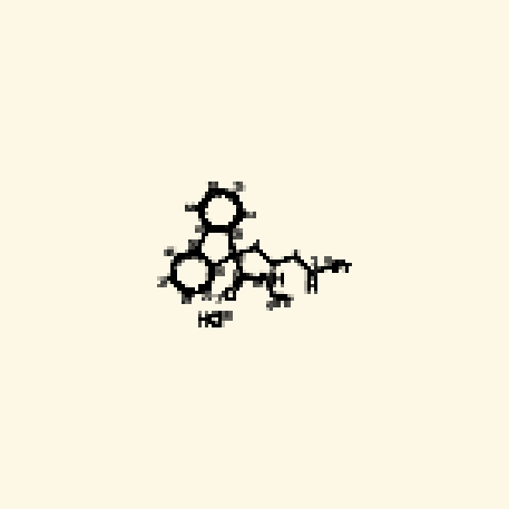 CC(C)NCCCC1(C(=O)NC(C)C)c2ccccc2-c2ccccc21.Cl